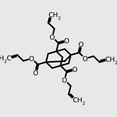 C=CCOC(=O)C12CC3(C(=O)OCC=C)CC(C(=O)OCC=C)(C1)CC(C(=O)OCC=C)(C2)C3